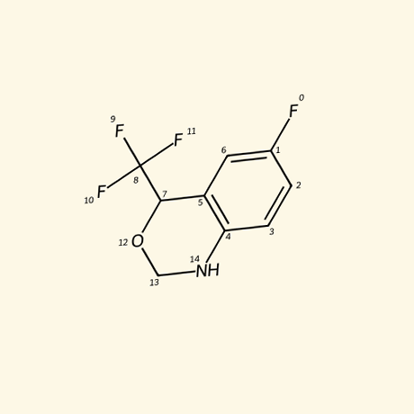 Fc1ccc2c(c1)C(C(F)(F)F)OCN2